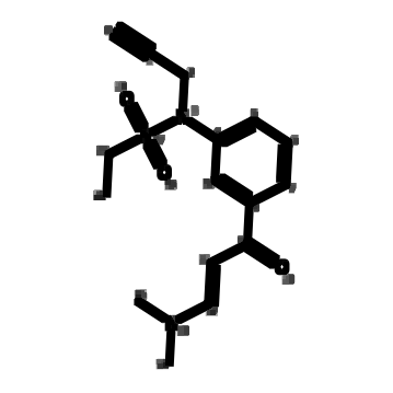 C#CCN(c1cccc(C(=O)/C=C/N(C)C)c1)S(=O)(=O)CC